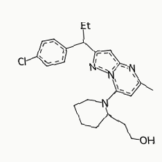 CCC(c1ccc(Cl)cc1)c1cc2nc(C)cc(N3CCCCC3CCO)n2n1